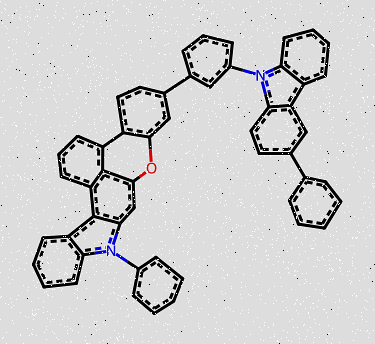 c1ccc(-c2ccc3c(c2)c2ccccc2n3-c2cccc(-c3ccc4c(c3)Oc3cc5c(c6cccc-4c36)c3ccccc3n5-c3ccccc3)c2)cc1